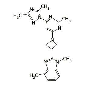 Cc1nc(N2CC(c3nc4c(C)cccc4n3C)C2)cc(-n2nc(C)nc2C)n1